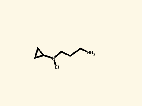 CCN(CCCN)C1CC1